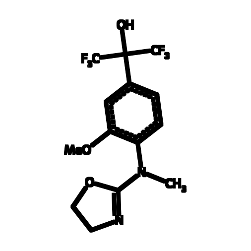 COc1cc(C(O)(C(F)(F)F)C(F)(F)F)ccc1N(C)C1=NCCO1